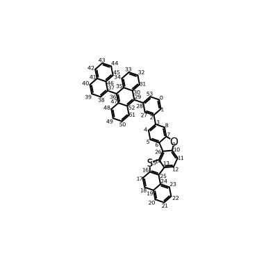 c1cc(-c2ccc3c(c2)oc2ccc4c(sc5ccc6ccccc6c54)c23)cc(-c2c3ccccc3c(-c3cccc4ccccc34)c3ccccc23)c1